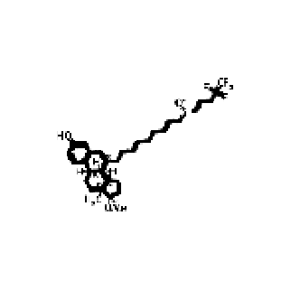 CO[C@H]1CC[C@H]2[C@@H]3[C@H](CCCCCCCCC[S+]([O-])CCCC(F)(F)C(F)(F)F)Cc4cc(O)ccc4[C@H]3CC[C@]12C